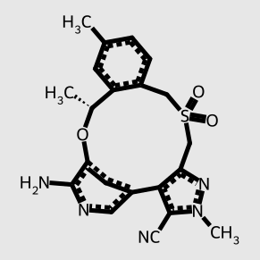 Cc1ccc2c(c1)[C@@H](C)Oc1cc(cnc1N)-c1c(nn(C)c1C#N)CS(=O)(=O)C2